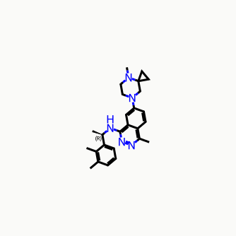 Cc1cccc([C@@H](C)Nc2nnc(C)c3ccc(N4CCN(C)C5(CC5)C4)cc23)c1C